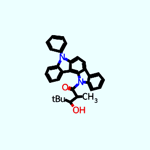 CC(C(=O)n1c2ccccc2c2ccc3c(c4ccccc4n3-c3ccccc3)c21)C(O)C(C)(C)C